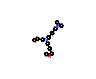 c1ccc2cc(-c3ccc(N(c4ccc(-c5ccc(-c6ccc(-n7c8ccccc8c8ccccc87)cc6)cc5)cc4)c4ccc(-c5ccc(-c6cccc7oc8ccccc8c67)cc5)cc4)cc3)ccc2c1